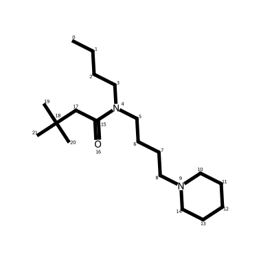 CCCCN(CCCCN1CCCCC1)C(=O)CC(C)(C)C